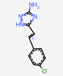 Nc1n[nH]c(/C=C/c2ccc(Cl)cc2)n1